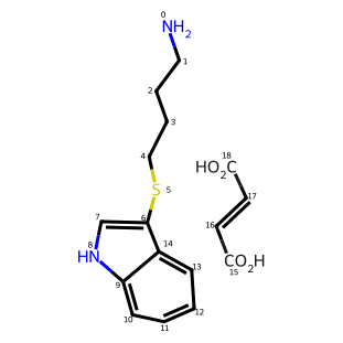 NCCCCSc1c[nH]c2ccccc12.O=C(O)C=CC(=O)O